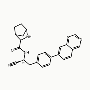 N#C[C@H](Cc1ccc(-c2ccc3cncnc3c2)cc1)NC(=O)C1NC2CCC1C2